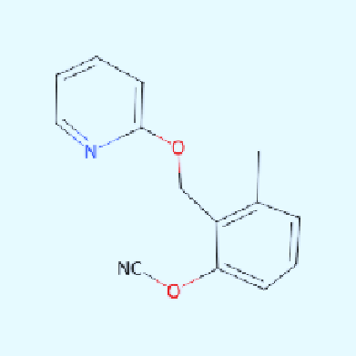 Cc1cccc(OC#N)c1COc1ccccn1